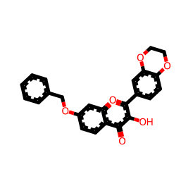 O=c1c(O)c(-c2ccc3c(c2)OCCO3)oc2cc(OCc3ccccc3)ccc12